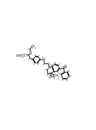 CCOC(=O)C(Cc1ccc(OCCN2CCC(C)(C)c3cc(C(=O)c4ccccc4)ccc32)cc1)OCC(F)(F)F